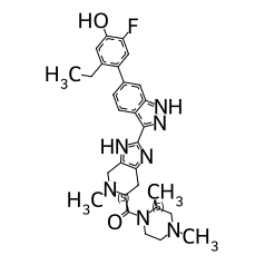 CCc1cc(O)c(F)cc1-c1ccc2c(-c3nc4c([nH]3)CN(C)[C@H](C(=O)N3CCN(C)C[C@@H]3C)C4)n[nH]c2c1